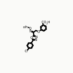 CCCO/N=C(\COc1cccc(C(=O)O)c1)c1nnc(-c2ccc(Cl)cc2)o1